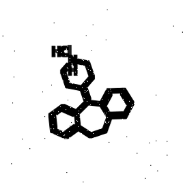 Cl.c1ccc2c(c1)CCc1ccccc1C2=C1CCNCC1